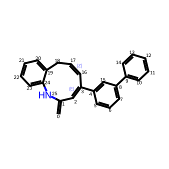 C=C1/C=C(c2cccc(-c3ccccc3)c2)\C=C/Cc2ccccc2N1